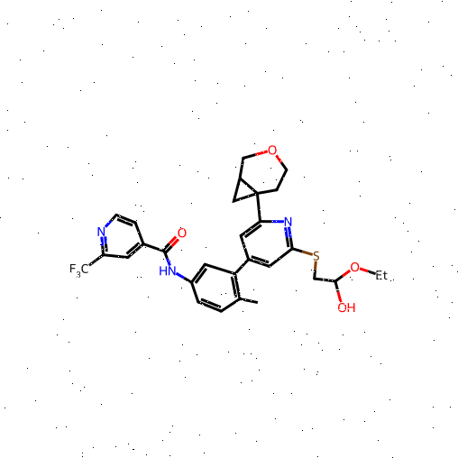 CCOC(O)CSc1cc(-c2cc(NC(=O)c3ccnc(C(F)(F)F)c3)ccc2C)cc(C23CCOCC2C3)n1